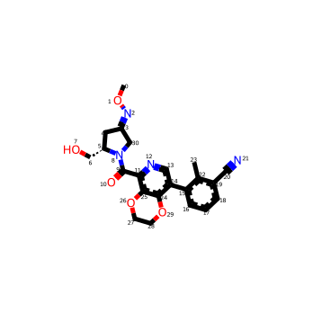 CO/N=C1\C[C@@H](CO)N(C(=O)c2ncc(-c3cccc(C#N)c3C)c3c2OCCO3)C1